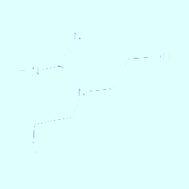 N=C(N)N(CCO)CCO